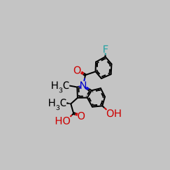 Cc1c([C@H](C)C(=O)O)c2cc(O)ccc2n1C(=O)c1cccc(F)c1